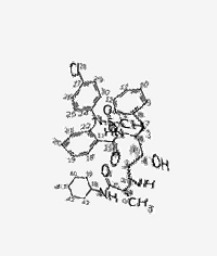 C[C@H](NC[C@@H](O)[C@H](Cc1ccccc1)NC(=O)c1ccccc1N(c1ccc(Cl)cc1)S(C)(=O)=O)C(=O)NC1CCCCC1